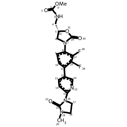 COC(=O)NC[C@H]1CN(c2ccc(-c3ccc(N4CCN(C)C4=O)nc3)c(F)c2F)C(=O)O1